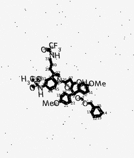 COc1ccc(C(OCOCc2ccccc2)(c2ccc(OC)cc2)C2OC(n3cc(CCCNC(=O)C(F)(F)F)c4cc(NS(C)(=O)=O)ccc43)CC2O)cc1